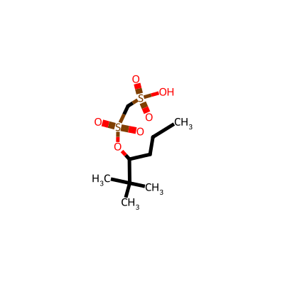 CCCC(OS(=O)(=O)CS(=O)(=O)O)C(C)(C)C